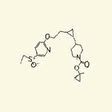 CC[S+]([O-])c1ccc(OCCC2CC2C2CCN(C(=O)OC3(C)CC3)CC2)nc1